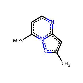 CSc1ccnc2cc(C)nn12